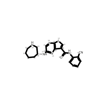 N#Cc1ccccc1NC(=O)c1csc2ncc(N[C@@H]3CCCCNC3)nc12